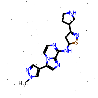 Cn1cc(-c2cnc3c(NC4CC(C5CCNC5)=NS4)nccn23)cn1